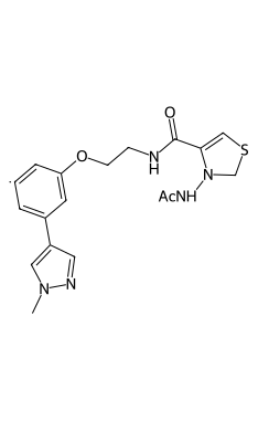 CC(=O)NN1CSC=C1C(=O)NCCOc1c[c]cc(-c2cnn(C)c2)c1